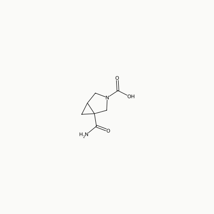 NC(=O)C12CC1CN(C(=O)O)C2